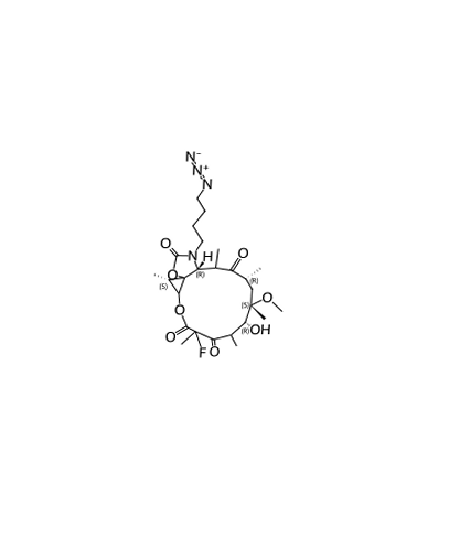 CO[C@@]1(C)C[C@@H](C)C(=O)C(C)[C@H]2N(CCCCN=[N+]=[N-])C(=O)OC23C(OC(=O)C(C)(F)C(=O)C(C)[C@H]1O)[C@@H]3C